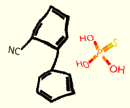 N#Cc1ccccc1-c1ccccc1.OP(O)(O)=S